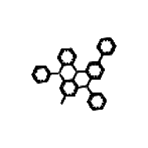 Cc1cc2c3c(c1)N(c1ccccc1)c1ccc(-c4ccccc4)cc1B3c1ccccc1N2c1ccccc1